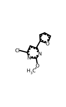 COc1nc(Cl)cc(-c2ccco2)n1